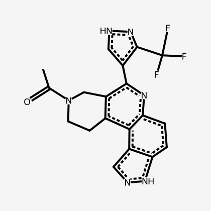 CC(=O)N1CCc2c(c(-c3c[nH]nc3C(F)(F)F)nc3ccc4[nH]ncc4c23)C1